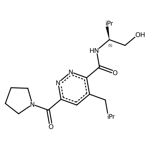 CC(C)Cc1cc(C(=O)N2CCCC2)nnc1C(=O)N[C@H](CO)C(C)C